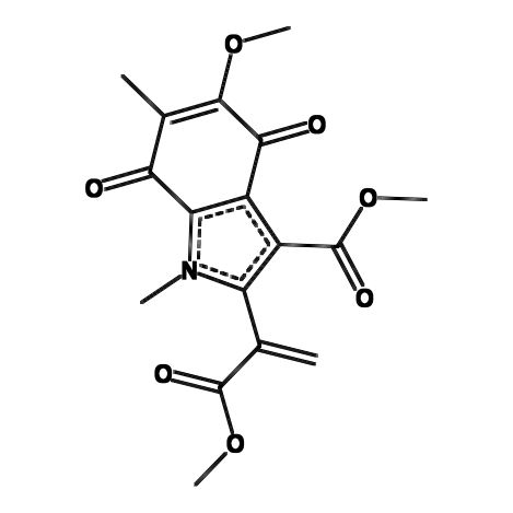 C=C(C(=O)OC)c1c(C(=O)OC)c2c(n1C)C(=O)C(C)=C(OC)C2=O